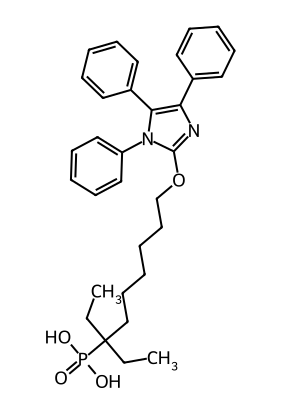 CCC(CC)(CCCCCCOc1nc(-c2ccccc2)c(-c2ccccc2)n1-c1ccccc1)P(=O)(O)O